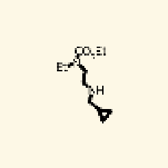 CCOC(=O)N(CC)CCNCC1CC1